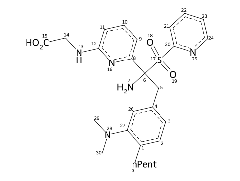 CCCCCc1ccc(CC(N)(c2cccc(NCC(=O)O)n2)S(=O)(=O)c2ccccn2)cc1N(C)C